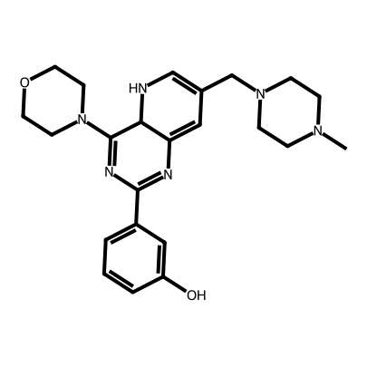 CN1CCN(CC2=CNC3C(=C2)N=C(c2cccc(O)c2)N=C3N2CCOCC2)CC1